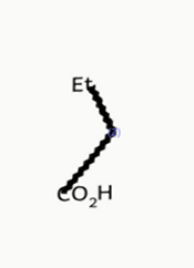 CCC=CCC=CCC=CCC=CC/C=C\CCCCCCCCCCCCCCCCCC(=O)O